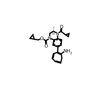 C[C@H]1CN(C(=O)OCC2CC2)c2cc(C3=C(N)CC=CC=C3)ccc2N1C(=O)C1CC1